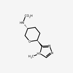 C[SH]1C=NN=C1[C@@H]1CC[C@@H](NC(=O)O)CO1